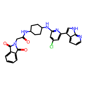 O=C(CN1C(=O)c2ccccc2C1=O)NC1CCC(Nc2cc(Cl)cc(-c3c[nH]c4ncccc34)n2)CC1